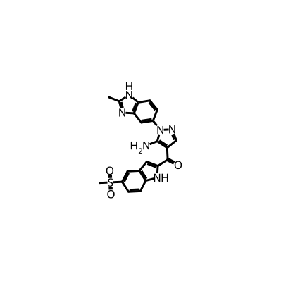 Cc1nc2cc(-n3ncc(C(=O)c4cc5cc(S(C)(=O)=O)ccc5[nH]4)c3N)ccc2[nH]1